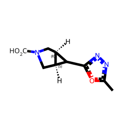 Cc1nnc(C2[C@H]3CN(C(=O)O)C[C@@H]23)o1